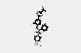 CN1CCN(S(=O)(=O)N(Cc2ccc(-c3nnc(C(F)F)o3)cc2F)c2ccccc2)CC1